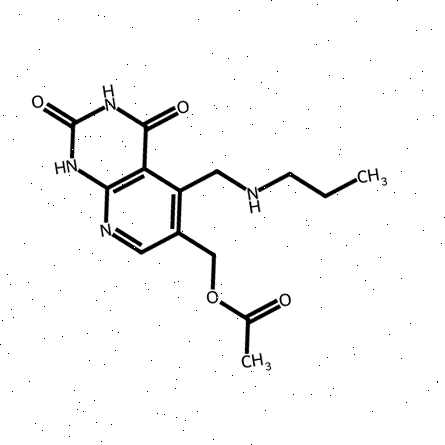 CCCNCc1c(COC(C)=O)cnc2[nH]c(=O)[nH]c(=O)c12